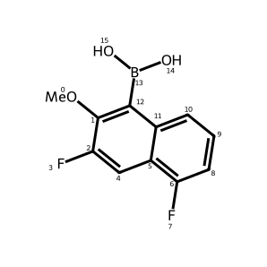 COc1c(F)cc2c(F)cccc2c1B(O)O